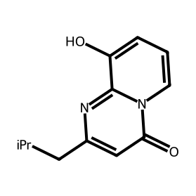 CC(C)Cc1cc(=O)n2cccc(O)c2n1